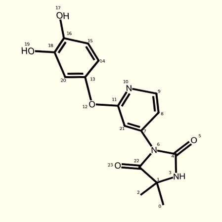 CC1(C)NC(=O)N(c2ccnc(Oc3ccc(O)c(O)c3)c2)C1=O